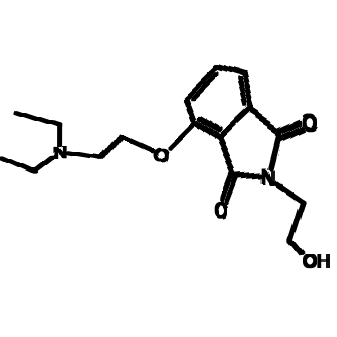 CCN(CC)CCOc1cccc2c1C(=O)N(CCO)C2=O